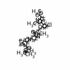 COC(=O)c1csc2c(-c3cc(Cl)ccc3OCCn3c(C)nc4c(c3=O)CC(N3CCC5(CN(C(=O)OC(C)(C)C)CC(F)(F)C5)C3)CC4)cc(C)nc12